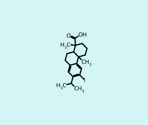 CC(C)c1cc2c(cc1I)C1(C)CCCC(C)(C(=O)O)C1CC2